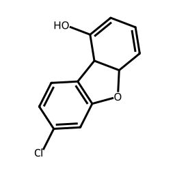 OC1=CC=CC2Oc3cc(Cl)ccc3C12